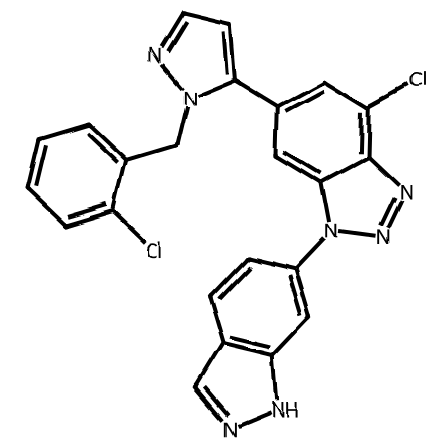 Clc1ccccc1Cn1nccc1-c1cc(Cl)c2nnn(-c3ccc4cn[nH]c4c3)c2c1